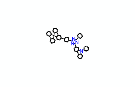 c1ccc(-c2nc(-c3ccc(-c4ccc5c(c4)-c4ccccc4C54c5ccccc5-c5ccccc54)cc3)nc(-c3ccc4c5ccccc5n(-c5ccccc5)c4c3)n2)cc1